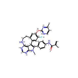 C=C(C)C(=O)Nc1ccc(-c2c3c4c(ncnc4n2C)NCCc2cc(Oc4nccc(C)n4)c(F)cc2-3)cc1